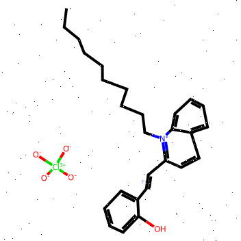 CCCCCCCCCC[n+]1c(/C=C/c2ccccc2O)ccc2ccccc21.[O-][Cl+3]([O-])([O-])[O-]